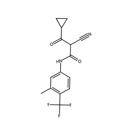 Cc1cc(NC(=O)C(C#N)C(=O)C2CC2)ccc1C(F)(F)F